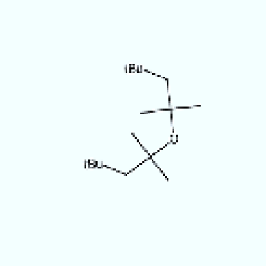 CC(C)(C)CC(C)(C)OC(C)(C)CC(C)(C)C